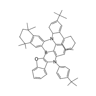 Cc1cc2c3c(c1)N(C1CC=C(C(C)(C)C)C=C1C1=CC=CCC1)c1cc4c(cc1B3c1oc3ccccc3c1N2c1ccc(C(C)(C)C)cc1)C(C)(C)CCC4(C)C